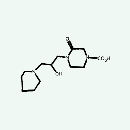 O=C(O)N1CCN(CC(O)CN2CCCCC2)C(=O)C1